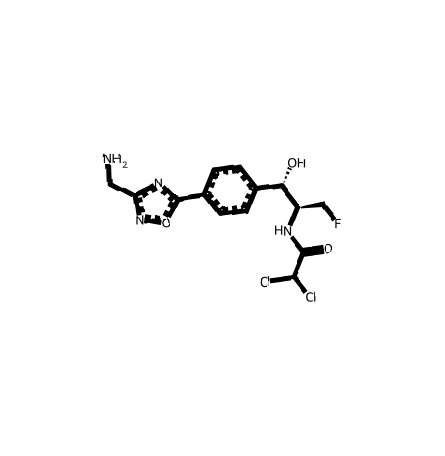 NCc1noc(-c2ccc([C@H](O)[C@@H](CF)NC(=O)C(Cl)Cl)cc2)n1